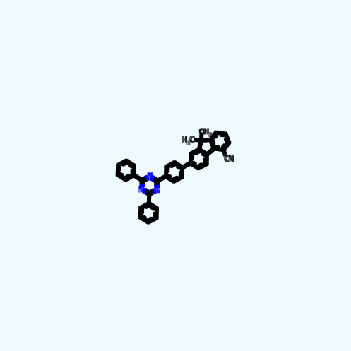 CC1(C)c2cc(-c3ccc(-c4nc(-c5ccccc5)nc(-c5ccccc5)n4)cc3)ccc2-c2c(C#N)cccc21